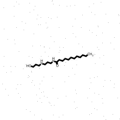 CCCCCCCCCCCC(=O)NCCCNCCCO